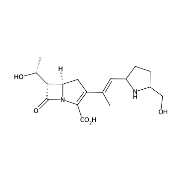 CC(=CC1CCC(CO)N1)C1=C(C(=O)O)N2C(=O)[C@H]([C@@H](C)O)[C@H]2C1